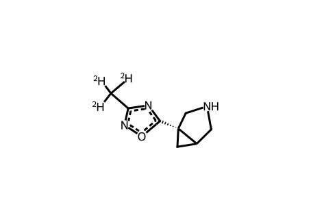 [2H]C([2H])([2H])c1noc([C@]23CNCC2C3)n1